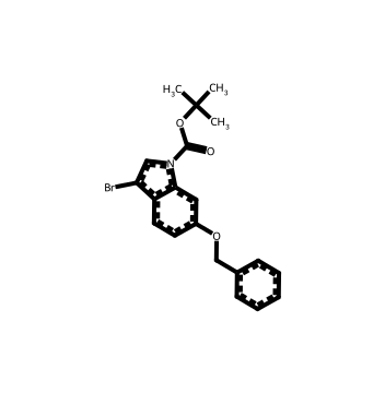 CC(C)(C)OC(=O)n1cc(Br)c2ccc(OCc3ccccc3)cc21